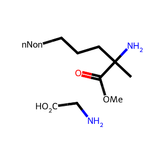 CCCCCCCCCCCCC(C)(N)C(=O)OC.NCC(=O)O